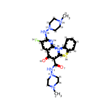 CN1CCN(NC(=O)c2c(=O)c3cc(F)c(NN4CCN(C)CC4)nc3n3c2sc2ccccc23)CC1